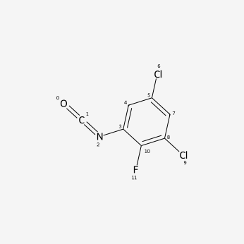 O=C=Nc1cc(Cl)cc(Cl)c1F